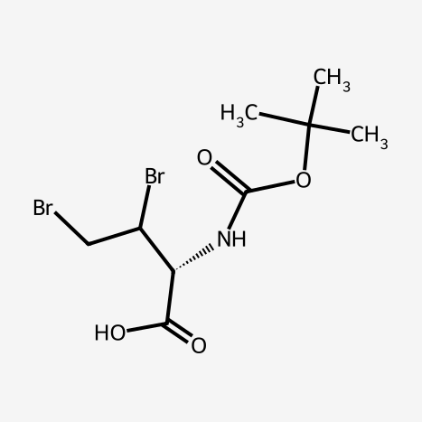 CC(C)(C)OC(=O)N[C@H](C(=O)O)C(Br)CBr